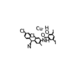 Cc1cc(C(C#N)c2ccc(Cl)cc2)c(Cl)cc1NC(=O)c1cc(I)cc(I)c1O.[Cu]